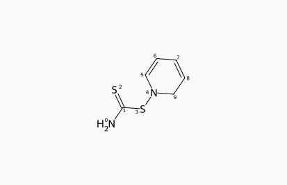 NC(=S)SN1C=CC=CC1